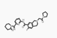 O=C(Nc1cccc(-c2nnc3n2CCCC3)n1)c1cc2c(cc1F)CCN(CC(=O)N1CCCC1)C2